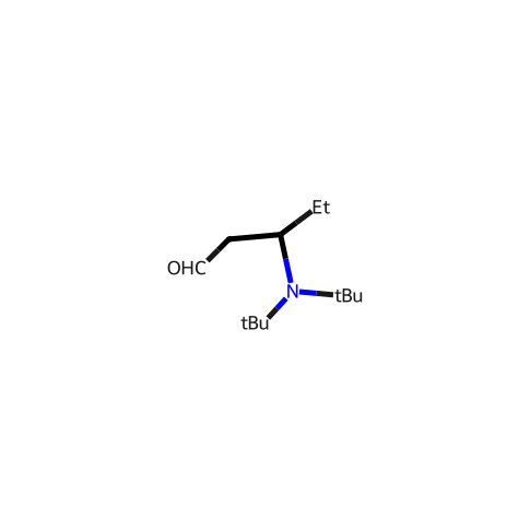 CCC(CC=O)N(C(C)(C)C)C(C)(C)C